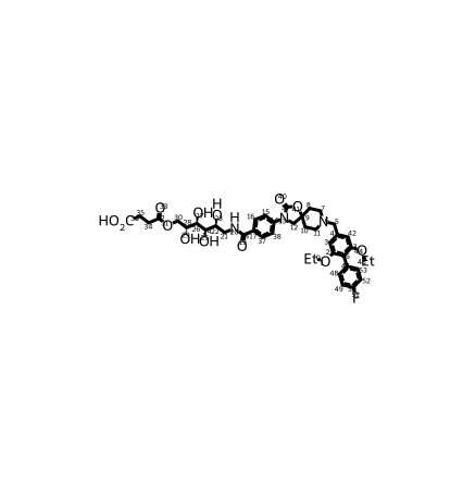 CCOc1cc(CN2CCC3(CC2)CN(c2ccc(C(=O)NC[C@H](O)[C@@H](O)[C@H](O)[C@H](O)COC(=O)CCC(=O)O)cc2)C(=O)O3)cc(OCC)c1-c1ccc(F)cc1